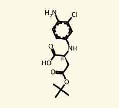 CC(C)(C)OC(=O)C[C@H](Nc1ccc(N)c(Cl)c1)C(=O)O